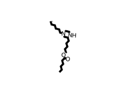 [CH2]CCCCCN1CCNC(CCCCCOC(=O)CCCCC)C1